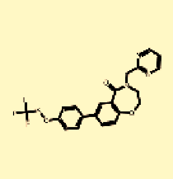 O=C1c2cc(-c3ccc(OSC(F)(F)F)cc3)ccc2OCCN1Cc1ncccn1